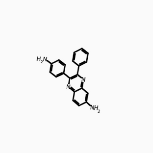 Nc1ccc(-c2nc3ccc(N)cc3nc2-c2ccccc2)cc1